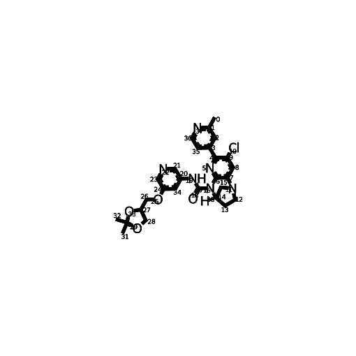 Cc1cc(-c2nc3c(cc2Cl)N2CC[C@@H](C2)N3C(=O)Nc2cncc(OCC3COC(C)(C)O3)c2)ccn1